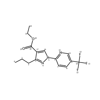 CCCc1nn(-c2ccc(C(F)(F)F)cn2)cc1C(=O)OCC